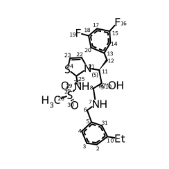 CCc1cccc(CNC[C@@H](O)[C@H](Cc2cc(F)cc(F)c2)N2C=CSC2NS(C)(=O)=O)c1